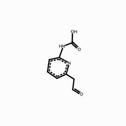 O=CCc1cccc(NC(=O)O)n1